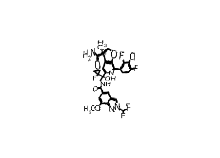 COc1cc(C(=O)NCC(O)(c2cc3c(c(-c4ccc(F)c(Cl)c4F)n2)OC[C@]3(C)C(N)=O)C2(F)CC2)cc2cn(C(F)F)nc12